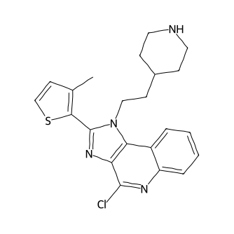 Cc1ccsc1-c1nc2c(Cl)nc3ccccc3c2n1CCC1CCNCC1